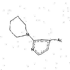 CC(=O)c1ccnc(N2CCCCC2)c1